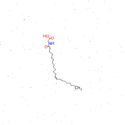 CCCCCCCC/C=C\CCCCCCCCCCCC(=O)NCC(=O)O